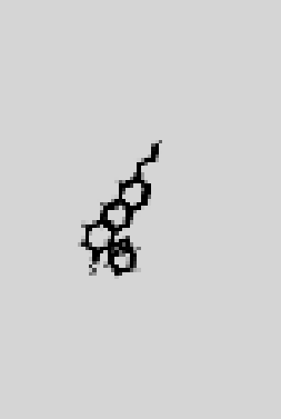 CCCc1ccc2cc3c(cc2c1)CCC(=O)C31CC2=CCC1C2